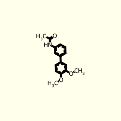 COc1ccc(-c2[c]ccc(NC(C)=O)c2)cc1OC